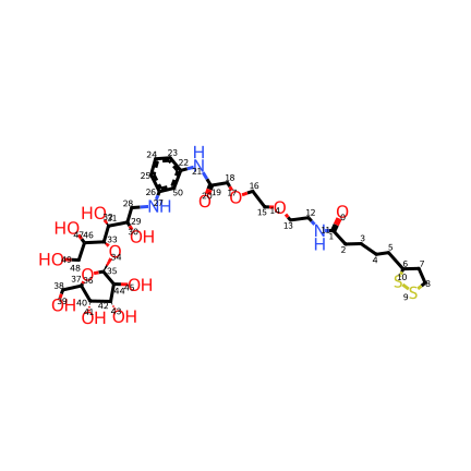 O=C(CCCCC1CCSS1)NCCOCCOCC(=O)Nc1cccc(NCC(O)[C@H](O)[C@@H](O[C@@H]2OC(CO)[C@@H](O)[C@@H](O)C2O)C(O)CO)c1